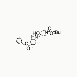 CC(C)(C)OC(=O)N1CCC(O)(CN[C@H]2CC[C@@](C)(C(=O)OCc3ccccc3)CC2)CC1